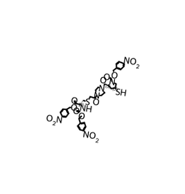 O=C(N[C@@H](CSCC(=O)N1CCN(C(=O)[C@@H]2C[C@H](S)CN2C(=O)OCc2ccc([N+](=O)[O-])cc2)CC1)C(=O)OCc1ccc([N+](=O)[O-])cc1)OCc1ccc([N+](=O)[O-])cc1